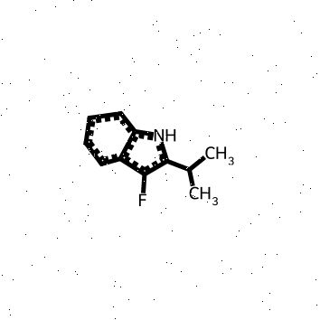 CC(C)c1[nH]c2ccccc2c1F